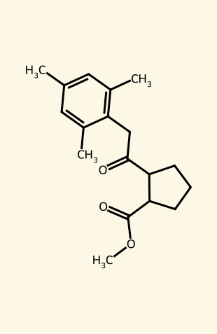 COC(=O)C1CCCC1C(=O)Cc1c(C)cc(C)cc1C